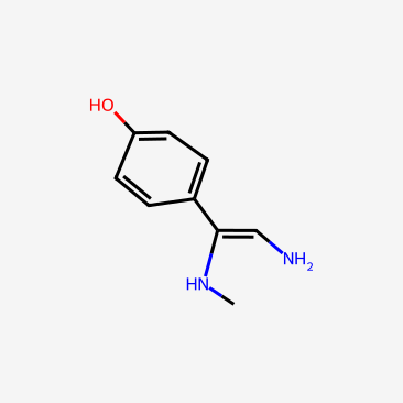 CN/C(=C\N)c1ccc(O)cc1